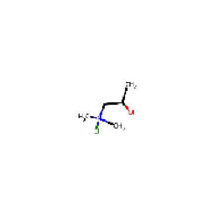 CC(O)C[N+](C)(C)Cl